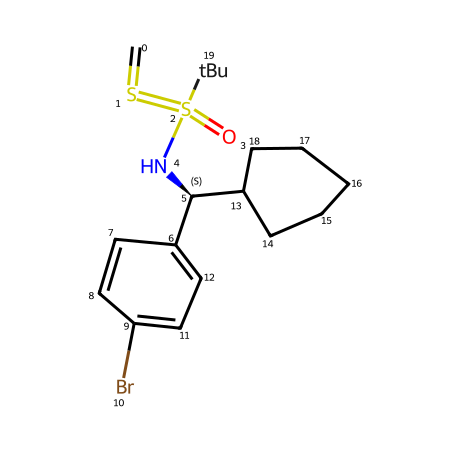 C=S=S(=O)(N[C@H](c1ccc(Br)cc1)C1CCCCC1)C(C)(C)C